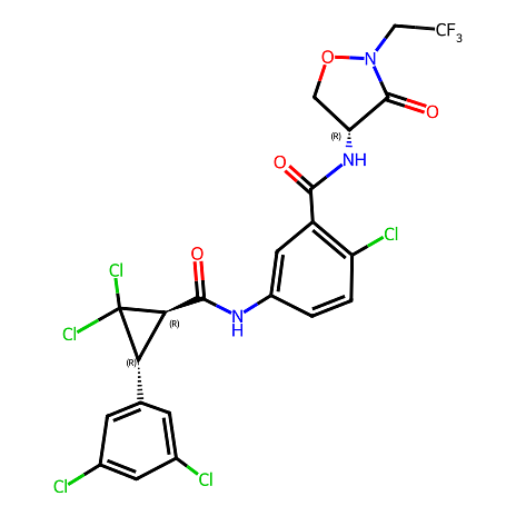 O=C(N[C@@H]1CON(CC(F)(F)F)C1=O)c1cc(NC(=O)[C@H]2[C@H](c3cc(Cl)cc(Cl)c3)C2(Cl)Cl)ccc1Cl